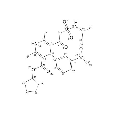 CC1=C(C(=O)CS(=O)(=O)NC(C)C)C(c2cccc([N+](=O)[O-])c2)C(C(=O)OC2CCCC2)=C(C)N1